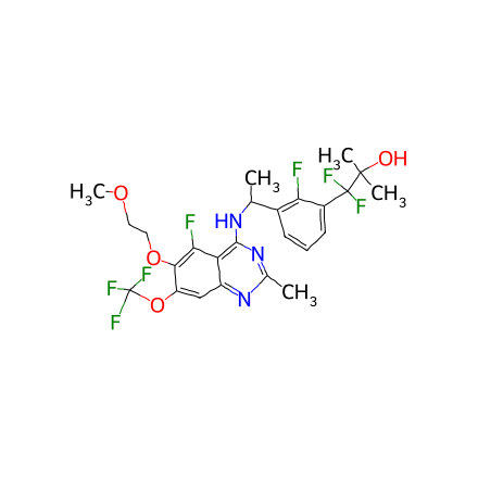 COCCOc1c(OC(F)(F)F)cc2nc(C)nc(NC(C)c3cccc(C(F)(F)C(C)(C)O)c3F)c2c1F